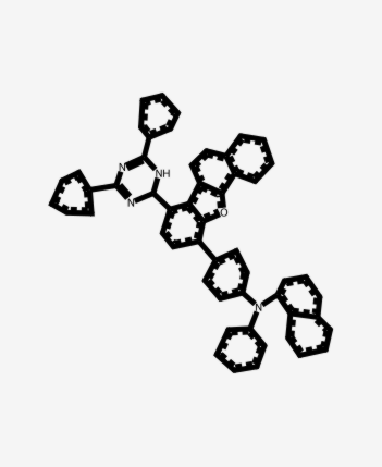 c1ccc(C2=NC(c3ccc(-c4ccc(N(c5ccccc5)c5cccc6ccccc56)cc4)c4oc5c6ccccc6ccc5c34)NC(c3ccccc3)=N2)cc1